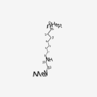 CCCCCCCCCCCCCCCNCCNC